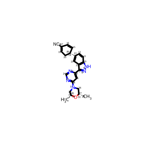 C[C@@H]1CN(c2cc(-c3n[nH]c4ccc([C@H]5C=CC(C#N)=CC5)cc34)ncn2)C[C@H](C)O1